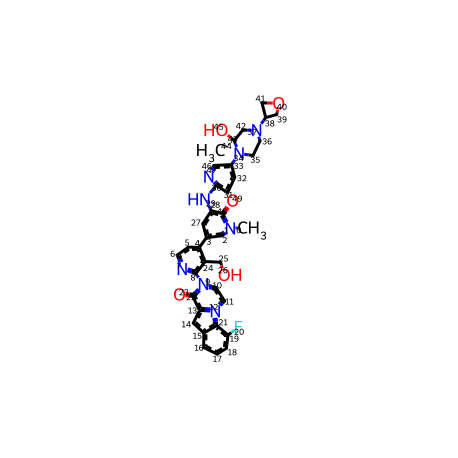 Cn1cc(-c2ccnc(-n3ccn4c(cc5cccc(F)c54)c3=O)c2CO)cc(Nc2ccc(N3CCN(C4COC4)C[C@]3(C)O)cn2)c1=O